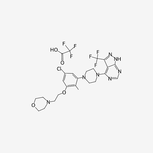 Cc1c(OCCN2CCOCC2)cc(Cl)cc1N1CCN(c2ncnc3[nH]nc(C(F)(F)F)c23)CC1.O=C(O)C(F)(F)F